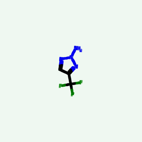 Nn1ncc(C(F)(F)F)n1